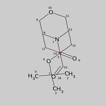 CC(C)(C)OC(=O)N1C2COCC1CC(C=O)C2